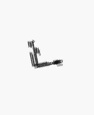 Cl.Cl.Cl.Cl.Cl.Cl.Cl.Cl.O.O.O.O.O.O.O.O.O.O.O.O.O.O.O.O.O.O.O.O.[AlH3].[AlH3].[AlH3].[AlH3].[AlH3].[AlH3].[AlH3].[AlH3].[Zr]